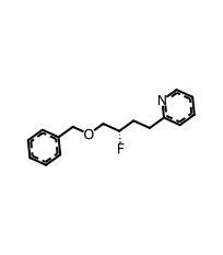 F[C@@H](CCc1ccccn1)COCc1ccccc1